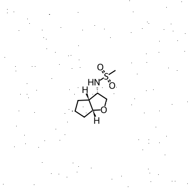 CS(=O)(=O)N[C@@H]1CO[C@@H]2C[CH]C[C@H]12